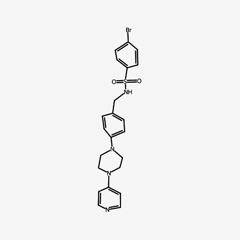 O=S(=O)(NCc1ccc(N2CCN(c3ccncc3)CC2)cc1)c1ccc(Br)cc1